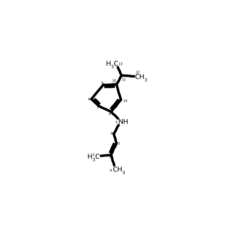 CC(C)=CCNc1cccc(C(C)C)c1